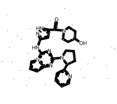 O=C(c1cc(Nc2nc(N3CCCC3c3ccccn3)nc3cccn23)n[nH]1)N1CCC(O)CC1